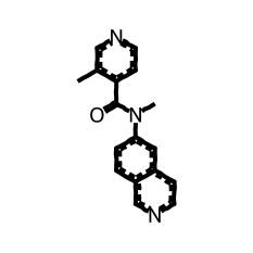 Cc1cnccc1C(=O)N(C)c1ccc2cnccc2c1